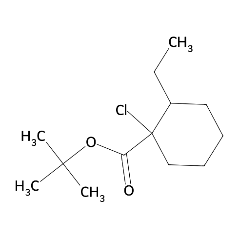 CCC1CCCCC1(Cl)C(=O)OC(C)(C)C